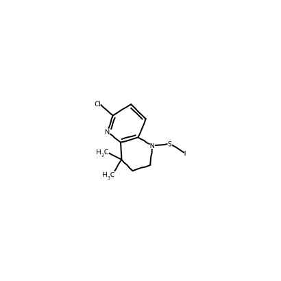 CC1(C)CCN(SI)c2ccc(Cl)nc21